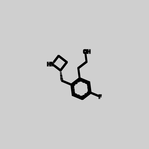 OCCc1cc(F)ccc1C[C@H]1CCN1